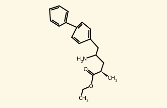 CCOC(=O)[C@H](C)CC(N)Cc1ccc(-c2ccccc2)cc1